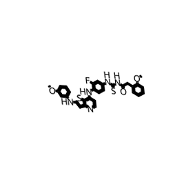 COc1cccc(Nc2cc3nccc(Nc4ccc(NC(=S)NC(=O)Cc5ccccc5OC)cc4F)c3s2)c1